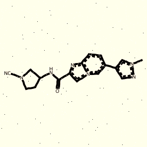 Cn1cc(-c2ccc3nc(C(=O)NC4CCN(C#N)C4)cn3c2)cn1